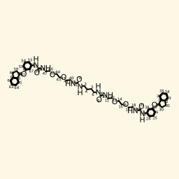 O=C(NCCCCNC(=O)NCCOCCOCCNC(=O)Nc1cccc(O[C@@H]2CCc3ccccc32)c1)NCCOCCOCCNC(=O)Nc1cccc(O[C@@H]2CCc3ccccc32)c1